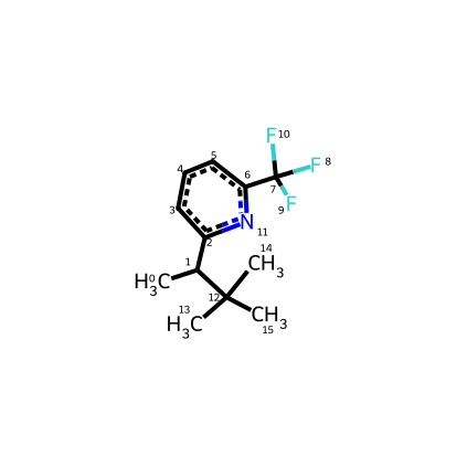 CC(c1cccc(C(F)(F)F)n1)C(C)(C)C